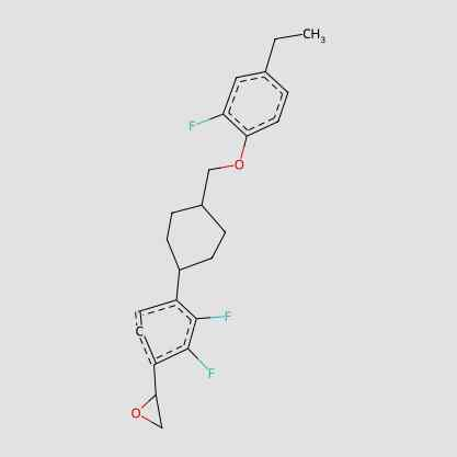 CCc1ccc(OCC2CCC(c3ccc(C4CO4)c(F)c3F)CC2)c(F)c1